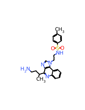 Cc1ccc(S(=O)(=O)NCCn2cnc3c(C(C)CCN)nc4ccccc4c32)cc1